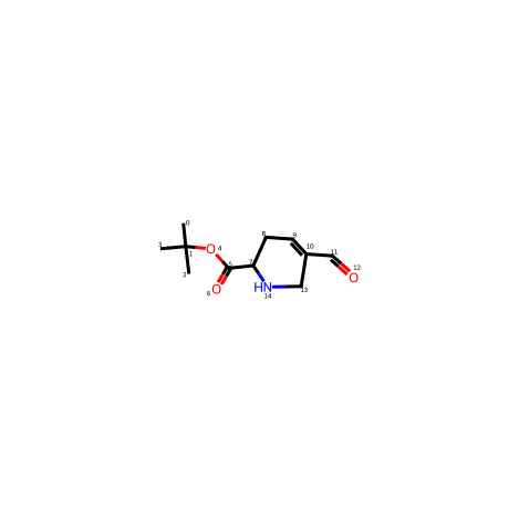 CC(C)(C)OC(=O)C1CC=C(C=O)CN1